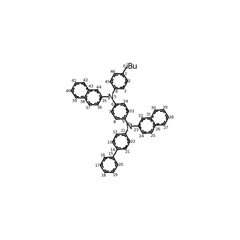 CCC(C)c1ccc(N(c2ccc(N(c3ccc(-c4ccccc4)cc3)c3ccc4ccccc4c3)cc2)c2ccc3ccccc3c2)cc1